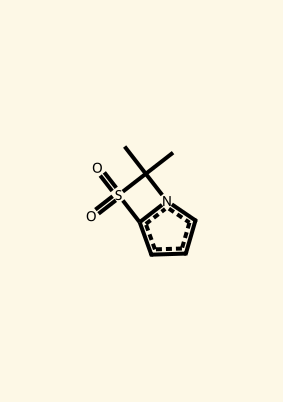 CC1(C)n2cccc2S1(=O)=O